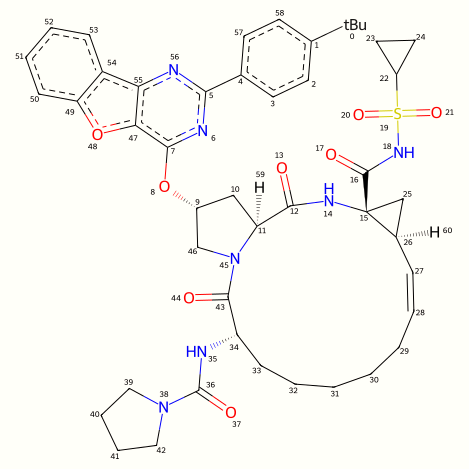 CC(C)(C)c1ccc(-c2nc(O[C@@H]3C[C@H]4C(=O)N[C@]5(C(=O)NS(=O)(=O)C6CC6)C[C@H]5/C=C\CCCCC[C@H](NC(=O)N5CCCC5)C(=O)N4C3)c3oc4ccccc4c3n2)cc1